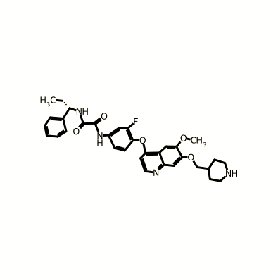 CC[C@H](NC(=O)C(=O)Nc1ccc(Oc2ccnc3cc(OCC4CCNCC4)c(OC)cc23)c(F)c1)c1ccccc1